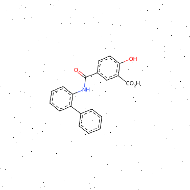 O=C(Nc1ccccc1-c1ccccc1)c1ccc(O)c(C(=O)O)c1